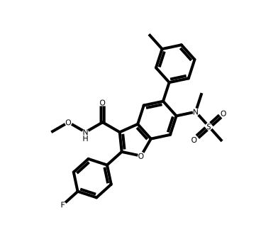 CONC(=O)c1c(-c2ccc(F)cc2)oc2cc(N(C)S(C)(=O)=O)c(-c3cccc(C)c3)cc12